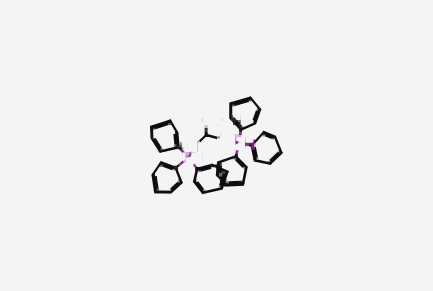 O=C(O)[CH]([Pd][PH](c1ccccc1)(c1ccccc1)c1ccccc1)[Pd][PH](c1ccccc1)(c1ccccc1)c1ccccc1